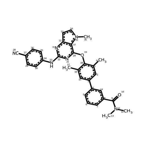 Cc1cc(-c2cccc(C(=O)N(C)C)c2)cc(C)c1Oc1nc(Nc2ccc(C#N)cc2)nc2ccn(C)c12